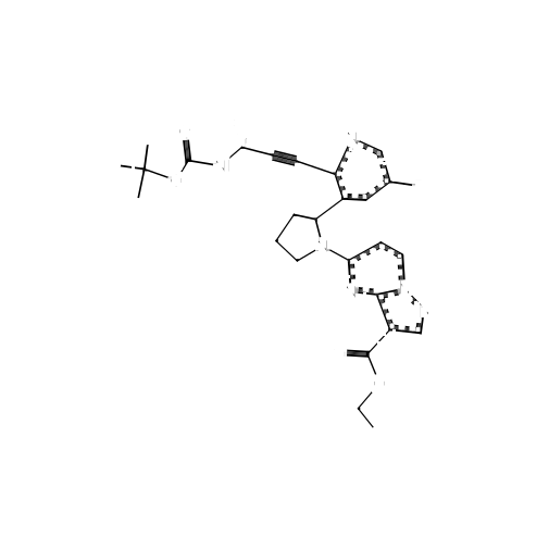 CCOC(=O)c1cnn2ccc(N3CCCC3c3cc(F)cnc3C#C[C@@H](C)NC(=O)OC(C)(C)C)nc12